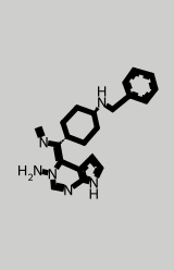 C=N/C(=C1/c2cc[nH]c2N=CN1N)[C@H]1CC[C@H](NCc2ccccc2)CC1